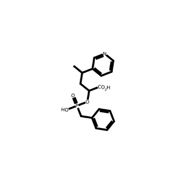 CC(CC(OP(=O)(O)Cc1ccccc1)C(=O)O)c1cccnc1